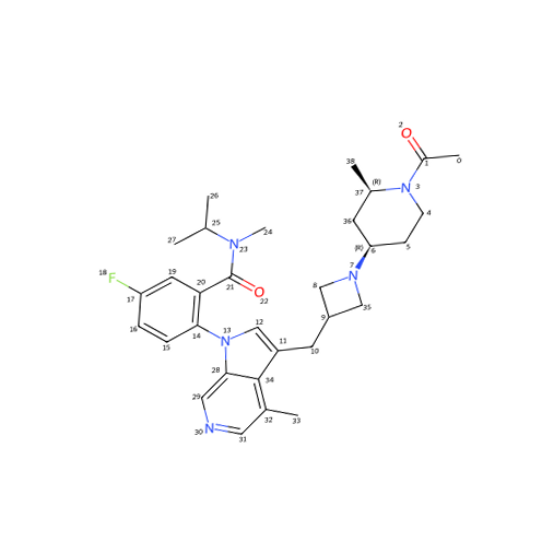 CC(=O)N1CC[C@@H](N2CC(Cc3cn(-c4ccc(F)cc4C(=O)N(C)C(C)C)c4cncc(C)c34)C2)C[C@H]1C